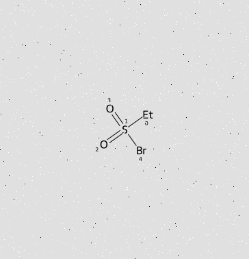 CCS(=O)(=O)Br